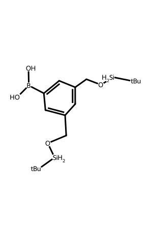 CC(C)(C)[SiH2]OCc1cc(CO[SiH2]C(C)(C)C)cc(B(O)O)c1